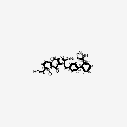 CCCCc1nc(Cl)c(C(=O)c2cccc(CO)[n+]2[O-])n1Cc1ccc(-c2ccccc2-c2nnn[nH]2)cc1